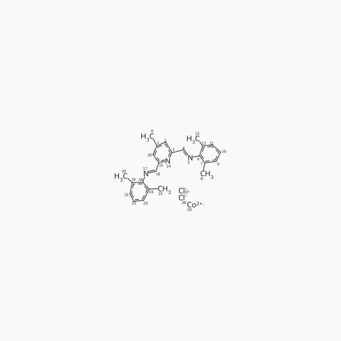 Cc1cc(C=Nc2c(C)cccc2C)nc(C=Nc2c(C)cccc2C)c1.[Cl-].[Cl-].[Co+2]